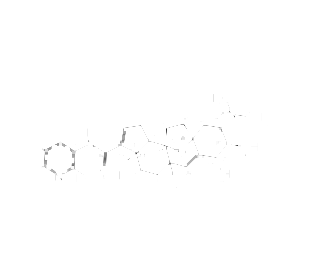 Cc1ncccc1NC(=O)C1=CCC2[C@@]34CC[C@]5(C[C@H](N(C)C)[C@@H](O)[C@H](O)C5=CC3(F)CC[C@]12C)O4